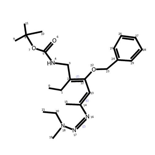 CC\C(CNC(=O)OC(C)(C)C)=C(/C=C(C)/N=N\N(C)CC)OCc1ccccc1